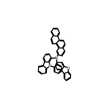 c1ccc(-n2c3ccccc3c3cccc(N(c4ccc5c(c4)oc4ccccc45)c4ccc5ccc6c7ccccc7ccc6c5c4)c32)cc1